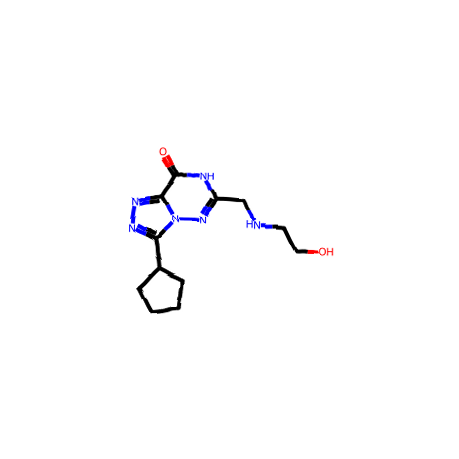 O=c1[nH]c(CNCCO)nn2c(C3CCCC3)nnc12